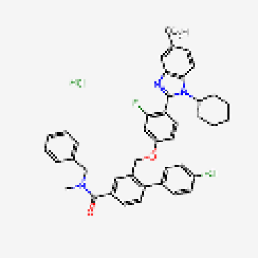 CN(Cc1ccccc1)C(=O)c1ccc(-c2ccc(Cl)cc2)c(COc2ccc(-c3nc4cc(C(=O)O)ccc4n3C3CCCCC3)c(F)c2)c1.Cl